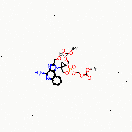 CCOCc1nc2c(N)nc3ccccc3c2n1C1(COP(=O)(OCOC(=O)OC(C)C)OCOC(=O)OC(C)C)CC1